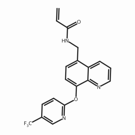 C=CC(=O)NCc1ccc(Oc2ccc(C(F)(F)F)cn2)c2ncccc12